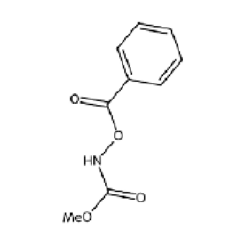 COC(=O)NOC(=O)c1ccccc1